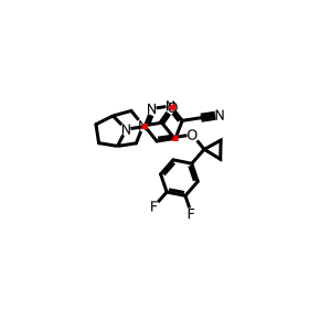 N#Cc1ccc(N2C3CCC2CN(C(=O)COC2(c4ccc(F)c(F)c4)CC2)C3)nn1